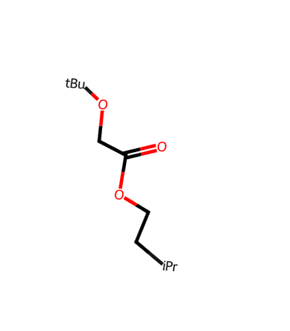 CC(C)CCOC(=O)COC(C)(C)C